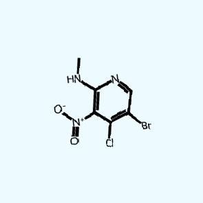 CNc1ncc(Br)c(Cl)c1[N+](=O)[O-]